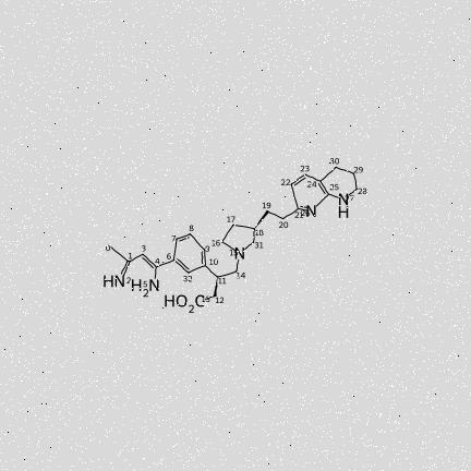 CC(=N)/C=C(\N)c1cccc([C@H](CC(=O)O)CN2CC[C@@H](CCc3ccc4c(n3)NCCC4)C2)c1